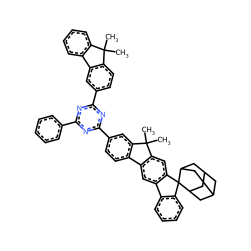 CC1(C)c2ccccc2-c2cc(-c3nc(-c4ccccc4)nc(-c4ccc5c(c4)C(C)(C)c4cc6c(cc4-5)-c4ccccc4C64C5CC6CC(C5)CC4C6)n3)ccc21